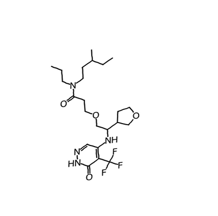 CCCN(CCC(C)CC)C(=O)CCOCC(Nc1cn[nH]c(=O)c1C(F)(F)F)C1CCOC1